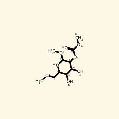 COCC1OC(OC)C(OC(=O)OC)C(O)C1O